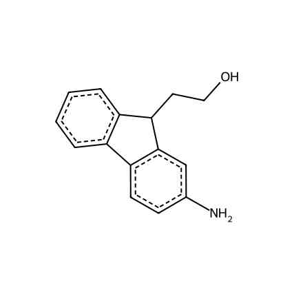 Nc1ccc2c(c1)C(CCO)c1ccccc1-2